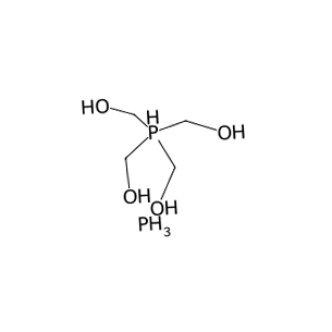 OC[PH](CO)(CO)CO.P